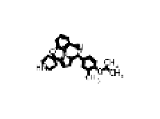 Cc1cc(C(=O)c2ccc3n2-c2c(C#N)cccc2OC32CCNCC2)ccc1OC(C)C